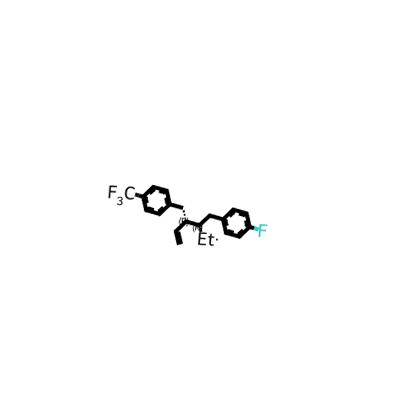 C=C[C@H](Cc1ccc(C(F)(F)F)cc1)[C@H]([CH]C)Cc1ccc(F)cc1